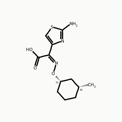 C[C@@H]1CCC[C@H](ON=C(C(=O)O)c2csc(N)n2)C1